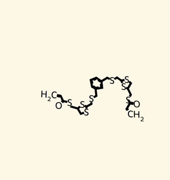 C=CC(=O)SCC1CSC(CSCc2cccc(CSCC3SCC(CSC(=O)C=C)S3)c2)S1